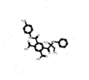 CCC(C)(Nc1ccccc1)C(=O)c1cc(C(=O)Nc2ccc(N)cc2)c(C(=O)O)cc1C(=O)O